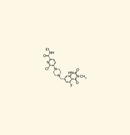 CCNC(=O)c1ccc(N2CCN(Cc3cc(F)c4c(=O)n(C)c(=O)[nH]c4c3)CC2)c(Cl)n1